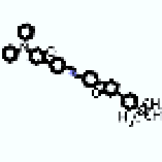 C[Si](C)(C)c1ccc(-c2ccc3c(c2)oc2cc(/C=C/c4ccc5c(c4)oc4cc(N(c6ccccc6)c6ccccc6)ccc45)ccc23)cc1